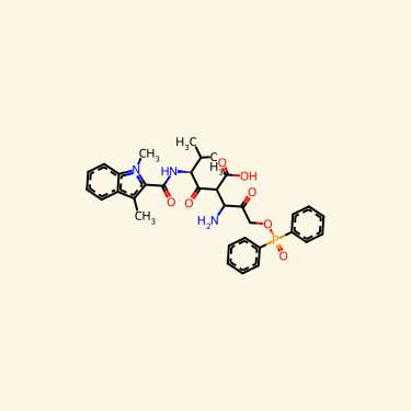 Cc1c(C(=O)N[C@H](C(=O)C(C(=O)O)C(N)C(=O)COP(=O)(c2ccccc2)c2ccccc2)C(C)C)n(C)c2ccccc12